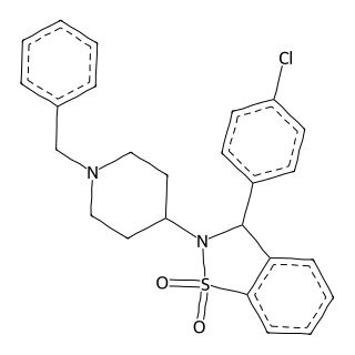 O=S1(=O)c2ccccc2C(c2ccc(Cl)cc2)N1C1CCN(Cc2ccccc2)CC1